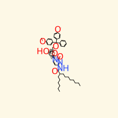 CCCCCCCCC(CCCCCC)C(=O)Nc1ccn([C@H]2C[C@H](O)[C@@H](COC(c3ccccc3)(c3ccc(OC)cc3)c3ccc(OC)cc3)O2)c(=O)n1